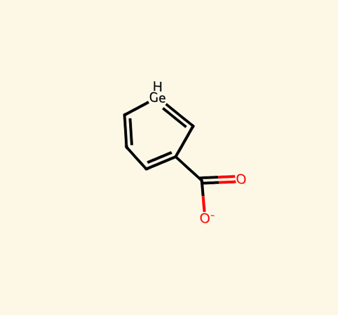 O=C([O-])C1=CC=[CH][GeH]=[CH]1